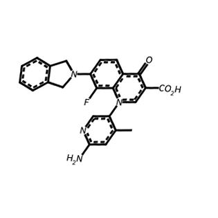 Cc1cc(N)ncc1-n1cc(C(=O)O)c(=O)c2ccc(N3Cc4ccccc4C3)c(F)c21